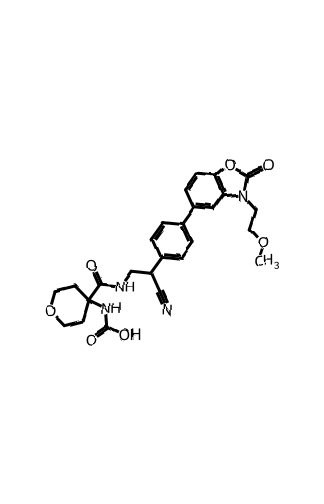 COCCn1c(=O)oc2ccc(-c3ccc(C(C#N)CNC(=O)C4(NC(=O)O)CCOCC4)cc3)cc21